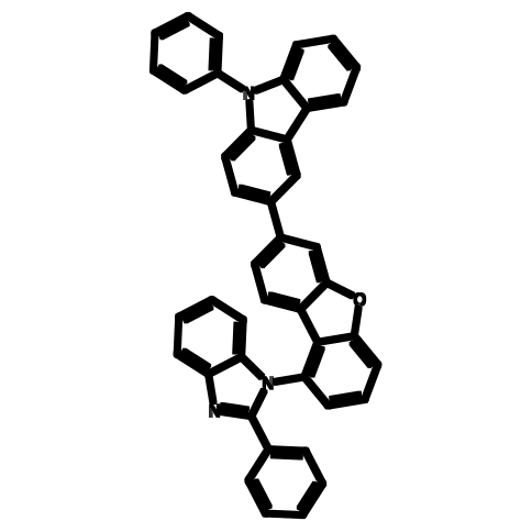 c1ccc(-c2nc3ccccc3n2-c2cccc3oc4cc(-c5ccc6c(c5)c5ccccc5n6-c5ccccc5)ccc4c23)cc1